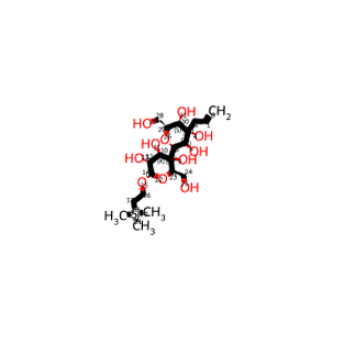 C=CC[C@@]1(O)[C@@H](O)[C@H]([C@@]2(O)[C@H](O)[C@@H](O)[C@@H](OCC[Si](C)(C)C)O[C@@H]2CO)O[C@H](CO)[C@@H]1O